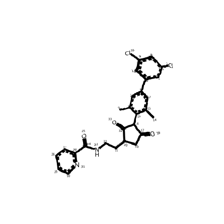 Cc1cc(-c2cc(Cl)cc(Cl)c2)cc(C)c1C1C(=O)CC(CCNC(=O)c2ccccn2)C1=O